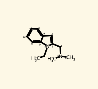 CCn1c(CN(C)C)cc2ccccc21